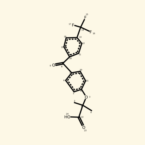 CC(C)(Oc1ccc(C(=O)c2ccc(C(F)(F)F)cc2)cc1)C(=O)O